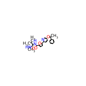 CNC(=O)[C@@H](NC(=O)c1ccc(-c2ccc(O[C@H](C)c3ccccc3)cn2)o1)C(C)C